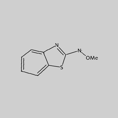 CO[N]c1nc2ccccc2s1